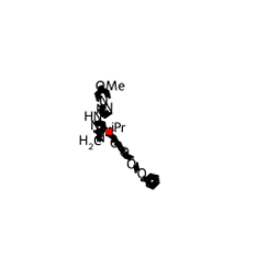 C=Nc1cnc(Nc2ccnc(N3CCC(OC)CC3)n2)cc1N(CCOCCOCCOCCOCc1ccccc1)C(C)C